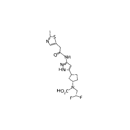 Cc1ncc(CC(=O)Nc2cc(C3CCC(N(CC(F)F)C(=O)O)C3)[nH]n2)s1